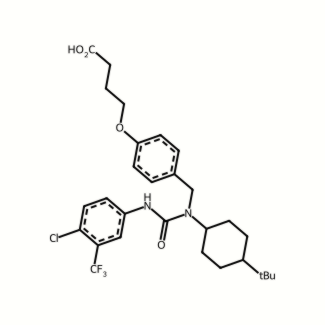 CC(C)(C)C1CCC(N(Cc2ccc(OCCCC(=O)O)cc2)C(=O)Nc2ccc(Cl)c(C(F)(F)F)c2)CC1